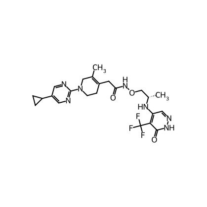 CC1=C(CC(=O)NOC[C@H](C)Nc2cn[nH]c(=O)c2C(F)(F)F)CCN(c2ncc(C3CC3)cn2)C1